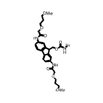 [2H]NC(=O)OCC1c2cc(NC(=O)COCCCOC)ccc2-c2ccc(NC(=O)COCCCOC)cc21